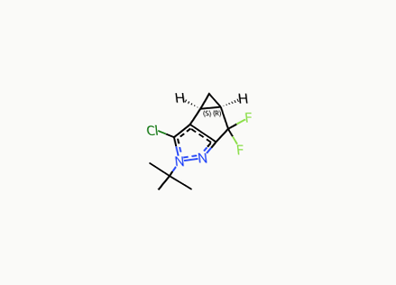 CC(C)(C)n1nc2c(c1Cl)[C@H]1C[C@H]1C2(F)F